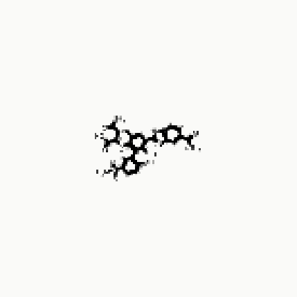 Cc1cc(-c2nc3cc(C(=N)N)ccc3[nH]2)c(O)c(-c2cc(S(N)(=O)=O)ccc2O)c1NC(CC(N)=O)C(=O)O